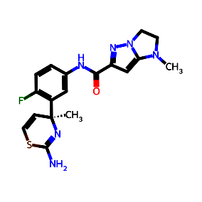 CN1CCn2nc(C(=O)Nc3ccc(F)c([C@]4(C)C=CSC(N)=N4)c3)cc21